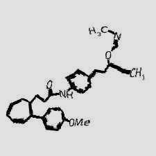 C=C=C(CCc1ccc(NC(=O)/C=C/C2=C(c3ccc(OC)cc3)C=CC=C=C2)cc1)O/C=N\C